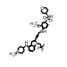 COc1cc(S(=O)(=O)NC2CCOCC2)ccc1NCC#Cc1cc2c(NC3CCN(C)CC3)cccc2n1CC(F)(F)F